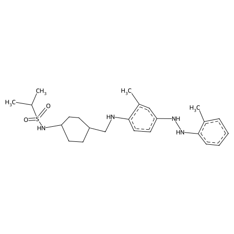 Cc1cc(NNc2ccccc2C)ccc1NCC1CCC(NS(=O)(=O)C(C)C)CC1